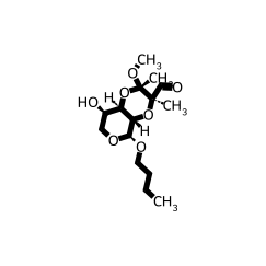 CCCCO[C@@H]1OC[C@@H](O)[C@H]2O[C@](C)(OC)[C@@](C)(C=O)O[C@H]12